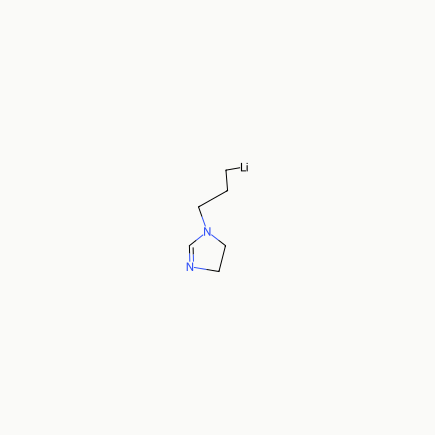 [Li][CH2]CCN1C=NCC1